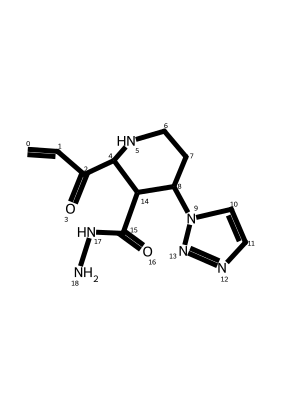 C=CC(=O)C1NCCC(n2ccnn2)C1C(=O)NN